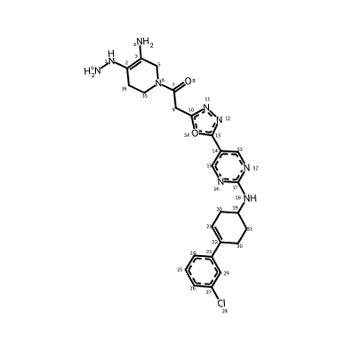 NNC1=C(N)CN(C(=O)Cc2nnc(-c3cnc(NC4CC=C(c5cccc(Cl)c5)CC4)nc3)o2)CC1